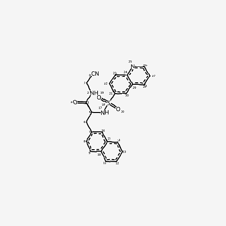 N#CCNC(=O)C(Cc1ccc2ccccc2c1)NS(=O)(=O)c1ccc2ncccc2c1